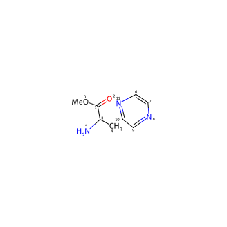 COC(=O)C(C)N.c1cnccn1